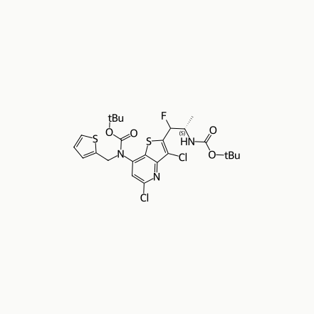 C[C@H](NC(=O)OC(C)(C)C)C(F)c1sc2c(N(Cc3cccs3)C(=O)OC(C)(C)C)cc(Cl)nc2c1Cl